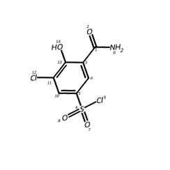 NC(=O)c1cc(S(=O)(=O)Cl)cc(Cl)c1O